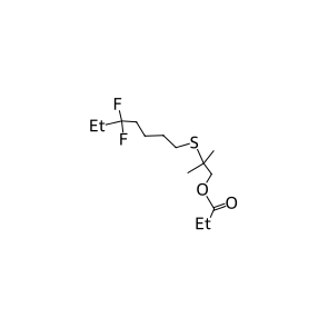 CCC(=O)OCC(C)(C)SCCCCC(F)(F)CC